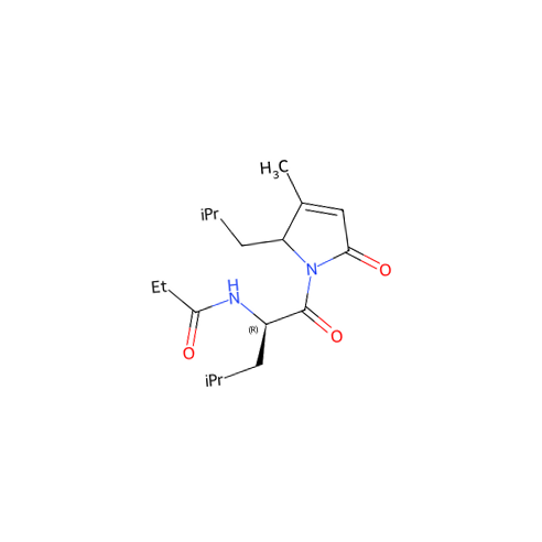 CCC(=O)N[C@H](CC(C)C)C(=O)N1C(=O)C=C(C)C1CC(C)C